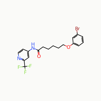 O=C(CCCCCOc1cccc(Br)c1)Nc1ccnc(C(F)(F)F)c1